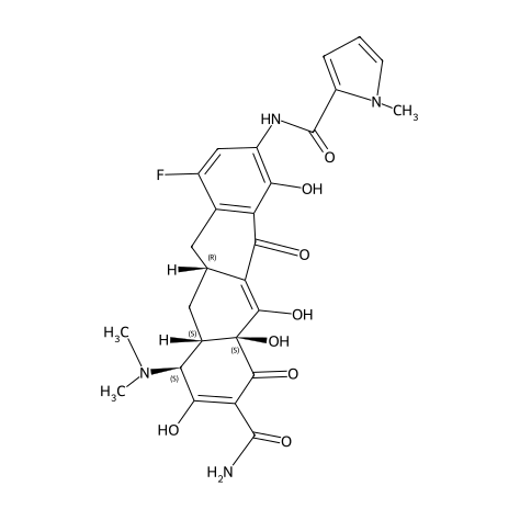 CN(C)[C@@H]1C(O)=C(C(N)=O)C(=O)[C@@]2(O)C(O)=C3C(=O)c4c(O)c(NC(=O)c5cccn5C)cc(F)c4C[C@H]3C[C@@H]12